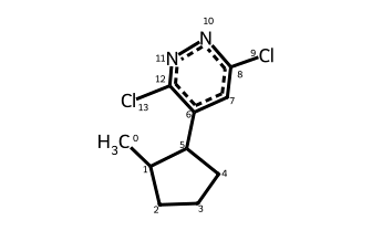 CC1CCCC1c1cc(Cl)nnc1Cl